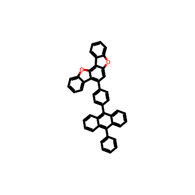 c1ccc(-c2c3ccccc3c(-c3ccc(-c4cc5oc6ccccc6c5c5oc6ccccc6c45)cc3)c3ccccc23)cc1